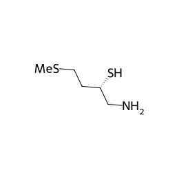 CSCC[C@H](S)CN